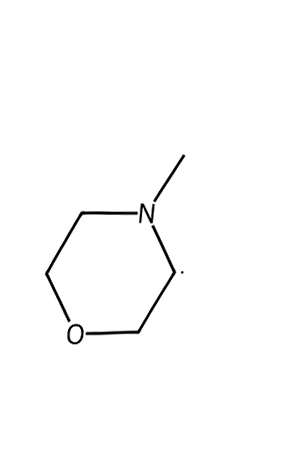 CN1[CH]COCC1